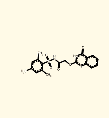 Cc1cc(C)c(S(=O)(=O)NC(=O)CSc2nc3ccccc3c(=O)[nH]2)c(C)c1